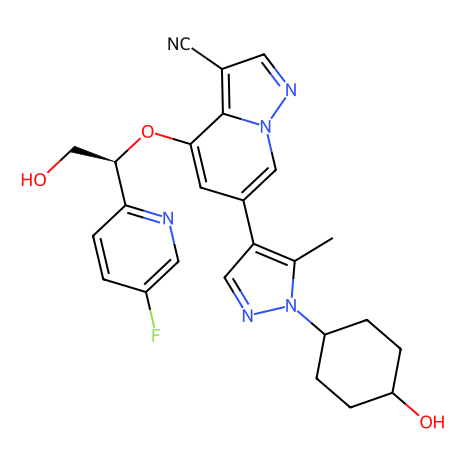 Cc1c(-c2cc(O[C@H](CO)c3ccc(F)cn3)c3c(C#N)cnn3c2)cnn1C1CCC(O)CC1